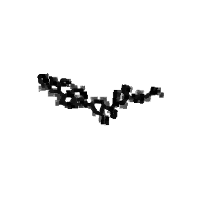 CCc1cc(Nc2nccn3c(-c4cn(CC#N)nc4C(F)(F)F)cnc23)ccc1C(=O)NCC(=O)NCCN